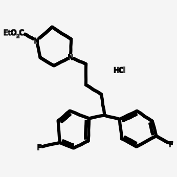 CCOC(=O)N1CCN(CCCC(c2ccc(F)cc2)c2ccc(F)cc2)CC1.Cl